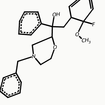 COC1(F)C=CC=CC1CC(O)(c1ccccc1)C1CN(Cc2ccccc2)CCO1